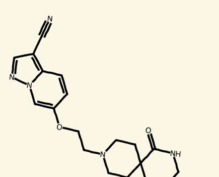 N#Cc1cnn2cc(OCCN3CCC4(CCCNC4=O)CC3)ccc12